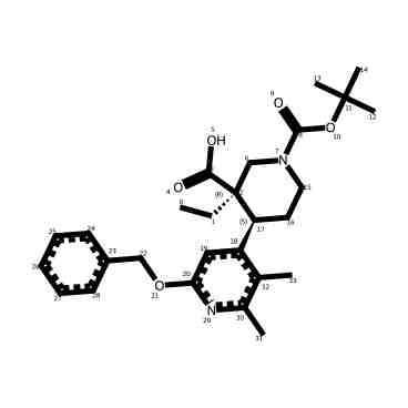 CC[C@]1(C(=O)O)CN(C(=O)OC(C)(C)C)CC[C@H]1c1cc(OCc2ccccc2)nc(C)c1C